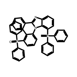 C=P(c1ccccc1)(c1ccccc1)c1cccc2nc3c4ccccc4c4c(P(=O)(c5ccccc5)c5ccccc5)cccc4n3c12